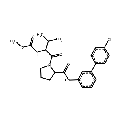 COC(=O)NC(C(=O)N1CCCC1C(=O)Nc1cccc(-c2ccc(Cl)cc2)c1)C(C)C